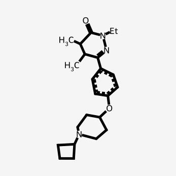 CCN1N=C(c2ccc(OC3CCN(C4CCC4)CC3)cc2)C(C)C(C)C1=O